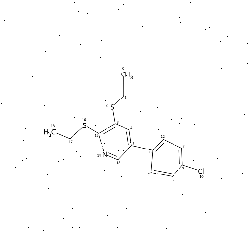 CCSc1cc(-c2ccc(Cl)cc2)cnc1SCC